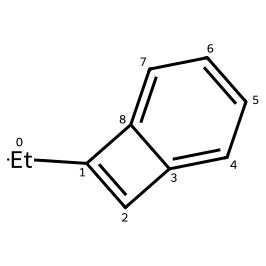 C[CH]C1=Cc2ccccc21